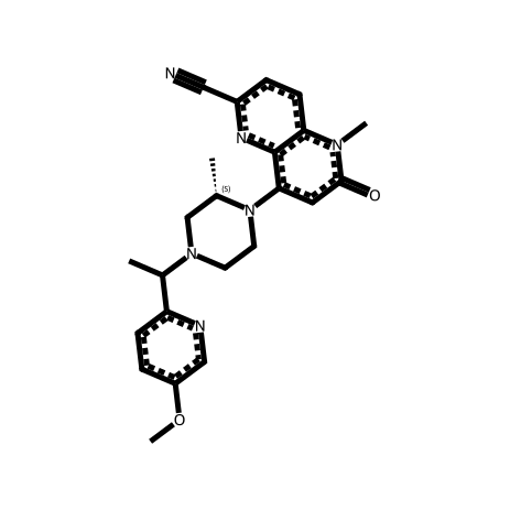 COc1ccc(C(C)N2CCN(c3cc(=O)n(C)c4ccc(C#N)nc34)[C@@H](C)C2)nc1